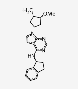 [CH2][C@H]1C[C@@H](n2ccc3c(N[C@H]4CCc5ccccc54)ncnc32)C[C@@H]1OC